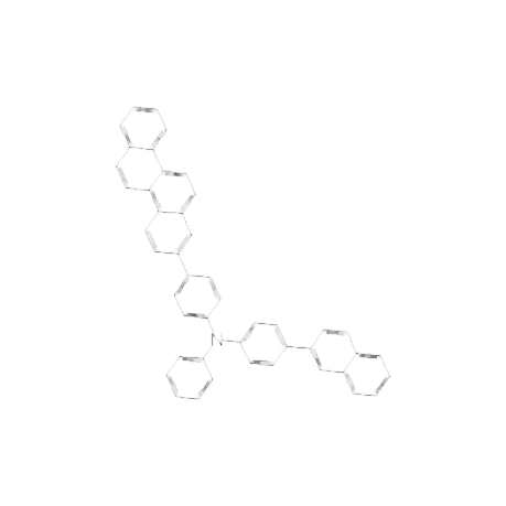 c1ccc(N(c2ccc(-c3ccc4ccccc4c3)cc2)c2ccc(-c3ccc4c(ccc5c6ccccc6ccc45)c3)cc2)cc1